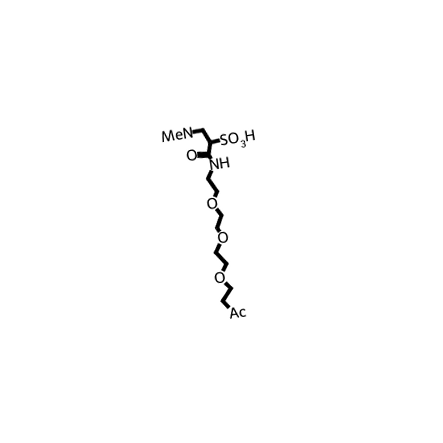 CNCC(C(=O)NCCOCCOCCOCCC(C)=O)S(=O)(=O)O